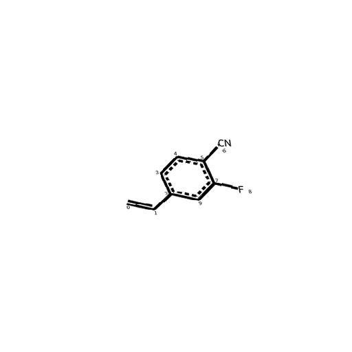 C=Cc1ccc(C#N)c(F)c1